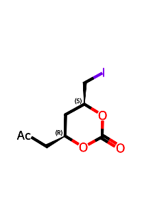 CC(=O)C[C@H]1C[C@@H](CI)OC(=O)O1